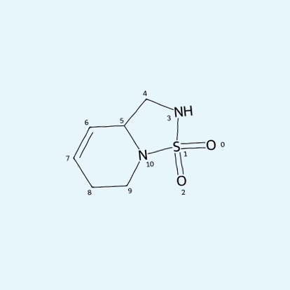 O=S1(=O)NCC2C=CCCN21